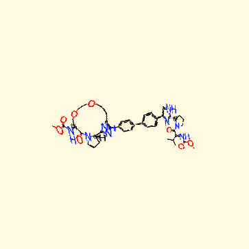 COC(=O)N[C@H]1COCCOCCCc2[nH]c(nc2-c2ccc(-c3ccc(-c4c[nH]c([C@@H]5CCCN5C(=O)[C@@H](NC(=O)OC)C(C)C)n4)cc3)cc2)[C@@H]2CCCN2C1=O